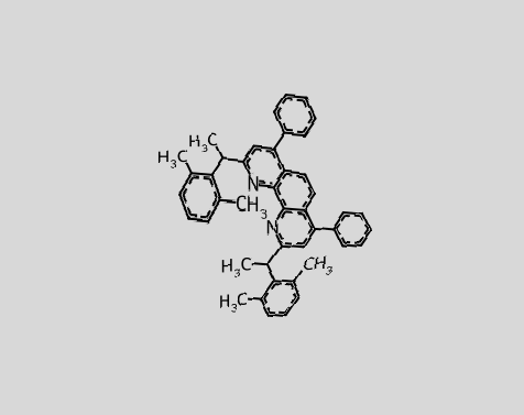 Cc1cccc(C)c1C(C)c1cc(-c2ccccc2)c2ccc3c(-c4ccccc4)cc(C(C)c4c(C)cccc4C)nc3c2n1